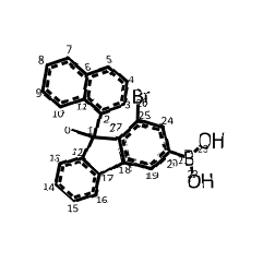 CC1(c2cccc3ccccc23)c2ccccc2-c2cc(B(O)O)cc(Br)c21